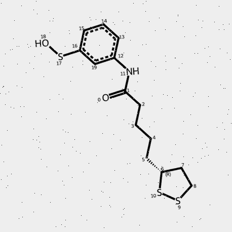 O=C(CCCC[C@@H]1CCSS1)Nc1cccc(SO)c1